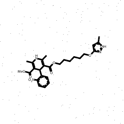 COC(=O)C1=C(C)NC(C)=C(C(=O)OCCCCCCOc2cc(C)[nH]n2)C1c1ccccc1[N+](=O)[O-]